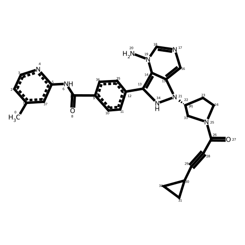 Cc1ccnc(NC(=O)c2ccc(C3=C4C(=CN=CN4N)N([C@@H]4CCN(C(=O)C#CC5CC5)C4)N3)cc2)c1